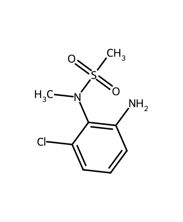 CN(c1c(N)cccc1Cl)S(C)(=O)=O